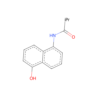 CC(C)C(=O)Nc1cccc2c(O)cccc12